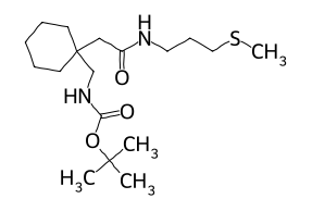 CSCCCNC(=O)CC1(CNC(=O)OC(C)(C)C)CCCCC1